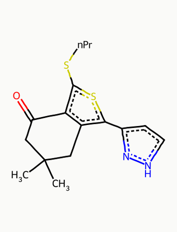 CCCSc1sc(-c2cc[nH]n2)c2c1C(=O)CC(C)(C)C2